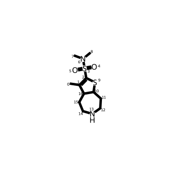 CC1=C(S(=O)(=O)N(C)C)SC2CCNCCC12